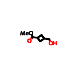 COC(=O)C1CC(CO)C1